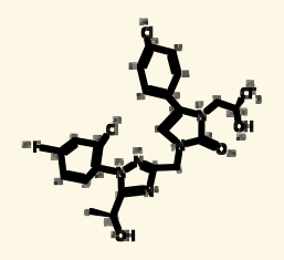 C[C@H](O)c1nc(Cn2cc(-c3ccc(Cl)cc3)n(C[C@H](O)C(F)(F)F)c2=O)nn1-c1ccc(F)cc1Cl